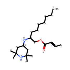 C/C=C/C(=O)OCC(CCCCCCCCCCCCCCCC)NC1CC(C)(C)NC(C)(C)C1